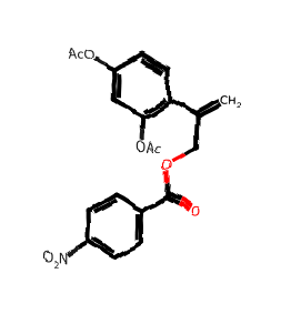 C=C(COC(=O)c1ccc([N+](=O)[O-])cc1)c1ccc(OC(C)=O)cc1OC(C)=O